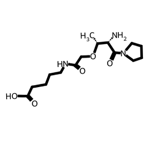 C[C@@H](OCC(=O)NCCCCC(=O)O)[C@H](N)C(=O)N1CCCC1